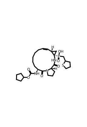 O=C(N[C@H]1CCCCC/C=C\[C@@H]2C[C@@]2(P(=O)(O)CC2CCCS2)NC(=O)[C@@H]2CCCN2C1=O)OC1CCCC1